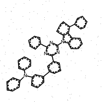 c1ccc(-c2nc(-c3cccc(-c4cccc(N(c5ccccc5)c5ccccc5)c4)c3)nc(-n3c4ccccc4c4c(-c5ccccc5)cccc43)n2)cc1